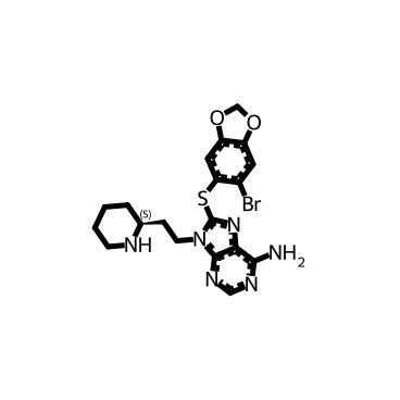 Nc1ncnc2c1nc(Sc1cc3c(cc1Br)OCO3)n2CC[C@@H]1CCCCN1